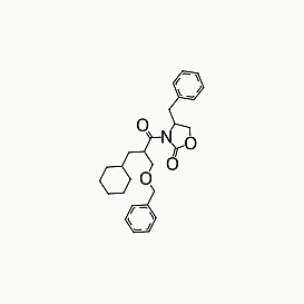 O=C1OCC(Cc2ccccc2)N1C(=O)C(COCc1ccccc1)CC1CCCCC1